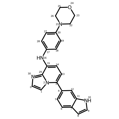 c1cn2c(-c3ccc4cc[nH]c4c3)ccc(Nc3ccc(N4CCOCC4)cc3)c2n1